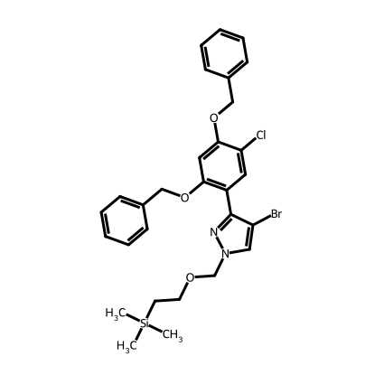 C[Si](C)(C)CCOCn1cc(Br)c(-c2cc(Cl)c(OCc3ccccc3)cc2OCc2ccccc2)n1